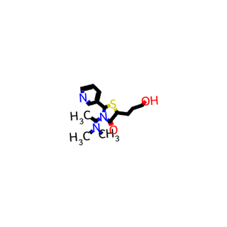 CC(N(C)C)N1C(=O)C(CCCO)SC1c1cccnc1